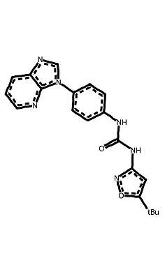 CC(C)(C)c1cc(NC(=O)Nc2ccc(-n3cnc4cccnc43)cc2)no1